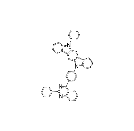 c1ccc(-c2nc(-c3ccc(-n4c5ccccc5c5cc6c(cc54)c4ccccc4n6-c4ccccc4)cc3)c3ccccc3n2)cc1